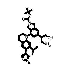 Cn1cc(-c2cc3c(cc2C(F)F)N(c2cc(C(CN)CO)cc4c2CN(C(=O)OC(C)(C)C)C4)CCC3)cn1